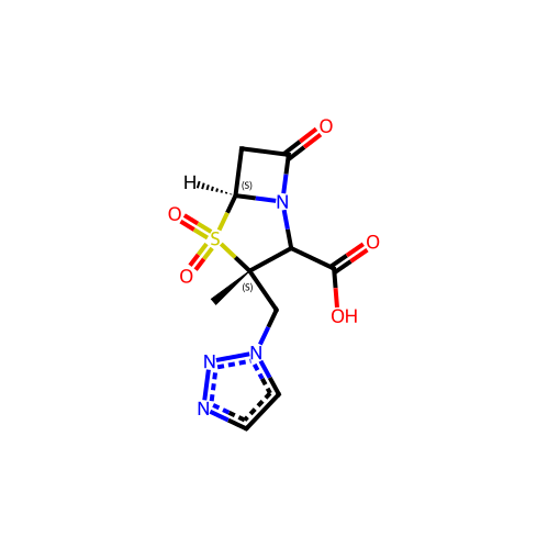 C[C@]1(Cn2ccnn2)C(C(=O)O)N2C(=O)C[C@@H]2S1(=O)=O